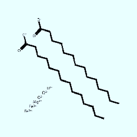 CCCCCCCCCCCCCC(=O)[O-].CCCCCCCCCCCCCC(=O)[O-].[Fe+3].[Fe+3].[Mg+2].[O-2].[O-2].[O-2]